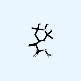 C=C(C(=O)OCCCC)C1CC(C)(C)N(C)C(C)(C)C1